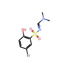 CCc1ccc(O)c(S(=O)(=O)/N=C/N(C)C)c1